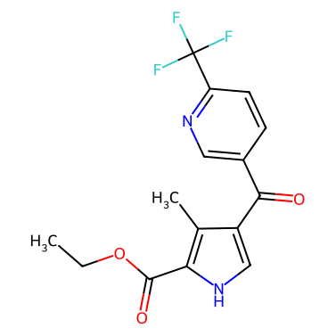 CCOC(=O)c1[nH]cc(C(=O)c2ccc(C(F)(F)F)nc2)c1C